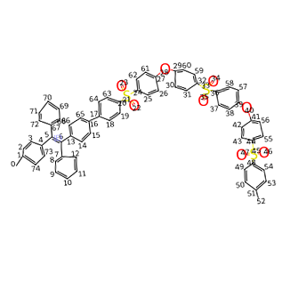 Cc1ccc(/C(=C(\c2ccccc2)c2ccc(-c3ccc(S(=O)(=O)c4ccc(Oc5ccc(S(=O)(=O)c6ccc(Oc7ccc(S(=O)(=O)c8ccc(C)cc8)cc7)cc6)cc5)cc4)cc3)cc2)c2ccccc2)cc1